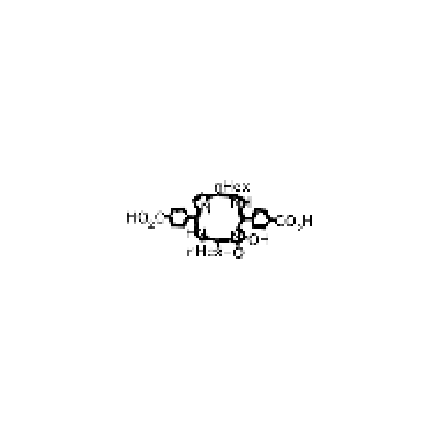 CCCCCCc1c2nc(c(-c3ccc(C(=O)O)cc3)c3ccc([nH]3)c(CCCCCC)c3nc(c(-c4ccc(C(=O)O)cc4)c4ccc1[nH]4)C(O)C3O)C=C2